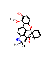 COc1c(O)ccc2c1-c1ccc3c(c1[C@@H](C1(CO)CC=CCC1)O2)C(C)=CC(C)(C)N3